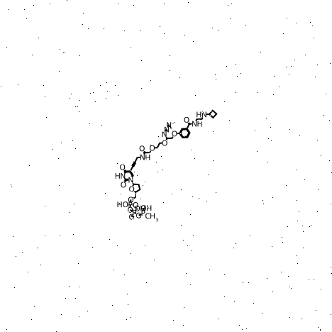 CP(O)OP(=O)(O)OP(=O)(O)OC[C@@H]1CC[C@H](n2cc(C#CCNC(=O)COCCOC(COc3cccc(C(=O)NCCNC4CCC4)c3)N=[N+]=[N-])c(=O)[nH]c2=O)O1